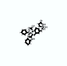 Cc1cc(C[C@@H](c2nc3ccccc3[nH]2)N(OC(=O)C(F)(F)F)S(=O)(=O)c2ccccc2)ccc1[C@@H]1CC(=O)NS1(O)O